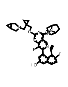 C#Cc1c(F)ccc2cc(O)cc(-c3ncc4c(N5CC6CCC(C5)N6C(C)=O)nc(OCC5(CN6CC7CC7C6)CC5)nc4c3F)c12